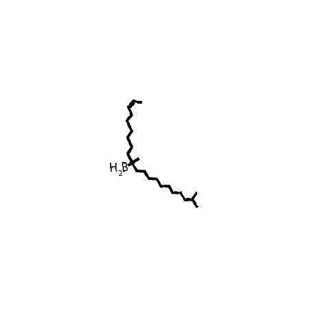 BC(C)(CCCCCC/C=C\C)CCCCCCCCCC(C)C